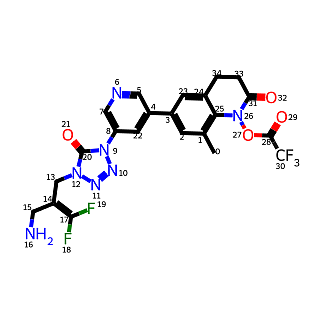 Cc1cc(-c2cncc(-n3nnn(CC(CN)=C(F)F)c3=O)c2)cc2c1N(OC(=O)C(F)(F)F)C(=O)CC2